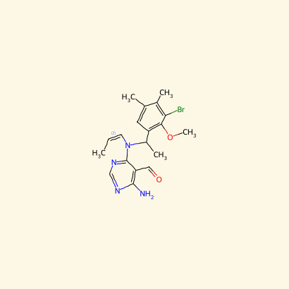 C/C=C\N(c1ncnc(N)c1C=O)C(C)c1cc(C)c(C)c(Br)c1OC